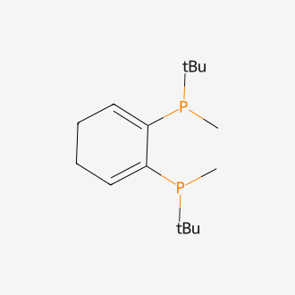 CP(C1=CCCC=C1P(C)C(C)(C)C)C(C)(C)C